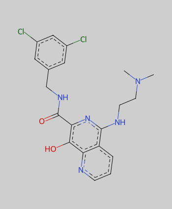 CN(C)CCNc1nc(C(=O)NCc2cc(Cl)cc(Cl)c2)c(O)c2ncccc12